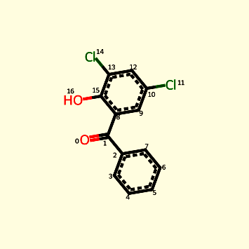 O=C(c1ccccc1)c1cc(Cl)cc(Cl)c1O